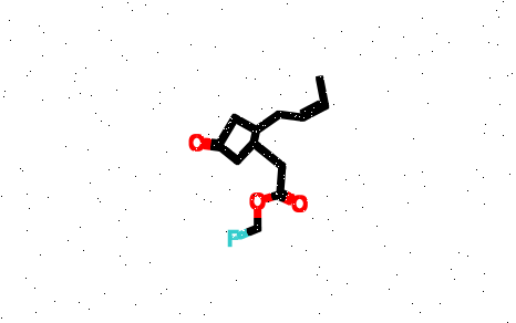 C/C=C\CC1CC(=O)CC1CC(=O)OCF